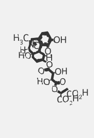 CN1CC[C@]23c4c5ccc(O)c4O[C@H]2C(OC(=O)[C@H](O)[C@@H](O)C(=O)O[C@@H](CC(=O)O)C(=O)O)=CC[C@@]3(O)[C@H]1C5